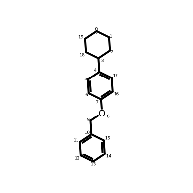 [CH]1CCC(c2ccc(OCc3ccccc3)cc2)CC1